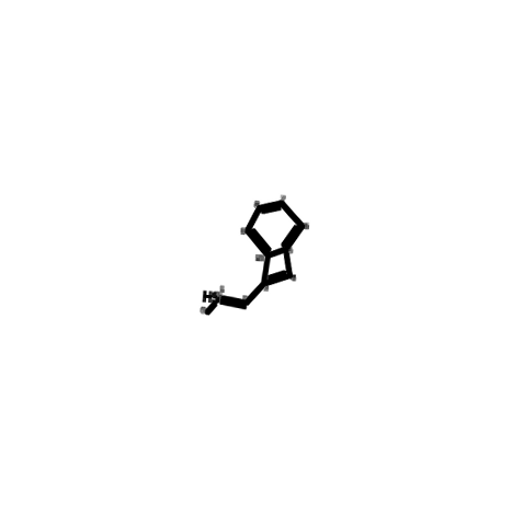 C[SiH]=CC1=Cc2ccccc21